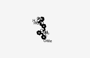 COc1ccc(C(NC(=O)Cc2ccc3oc(C(C)(O)c4cccc[n+]4[O-])cc3c2)c2ccccc2)c(C)c1